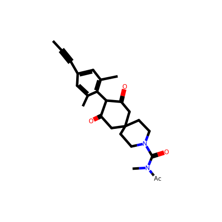 CC#Cc1cc(C)c(C2C(=O)CC3(CCN(C(=O)N(C)C(C)=O)CC3)CC2=O)c(C)c1